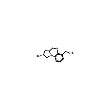 CCc1ccnc2c1OCC1C[C@@H](O)CN21